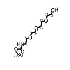 CC(C)(C)OC(=O)NCCOCCOCCOCCO